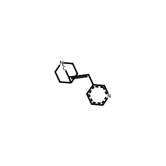 C(=C1\CN2CCC1CC2)/c1cccnc1